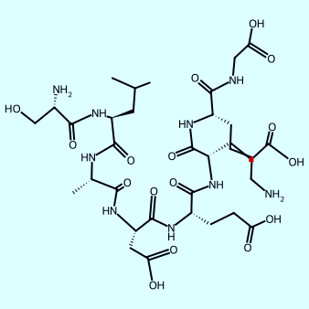 CC(C)C[C@H](NC(=O)[C@@H](N)CO)C(=O)N[C@@H](C)C(=O)N[C@@H](CC(=O)O)C(=O)N[C@@H](CCC(=O)O)C(=O)N[C@@H](CCC(=O)O)C(=O)N[C@@H](CCCCN)C(=O)NCC(=O)O